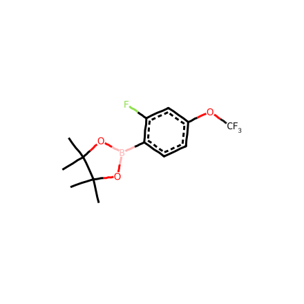 CC1(C)OB(c2ccc(OC(F)(F)F)cc2F)OC1(C)C